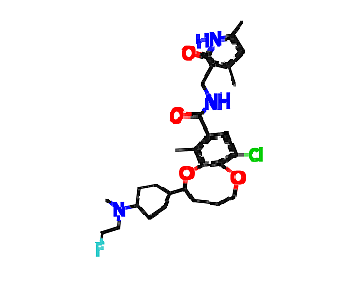 Cc1cc(C)c(CNC(=O)c2cc(Cl)c3c(c2C)OC(C2CCC(N(C)CCF)CC2)CCCO3)c(=O)[nH]1